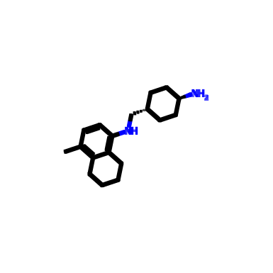 Cc1ccc(NC[C@H]2CC[C@H](N)CC2)c2c1CCCC2